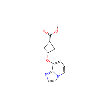 COC(=O)[C@H]1C[C@H](Oc2cccn3ccnc23)C1